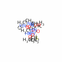 CSCC[C@H](NC(=O)[C@@H](NC(=O)OC(C)(C)C)C(C)C)C(=O)N[C@@H](CC(C)C)[C@@H](O)CN(C)C(=O)N[C@H](C(=O)NCc1ccccc1)C(C)C